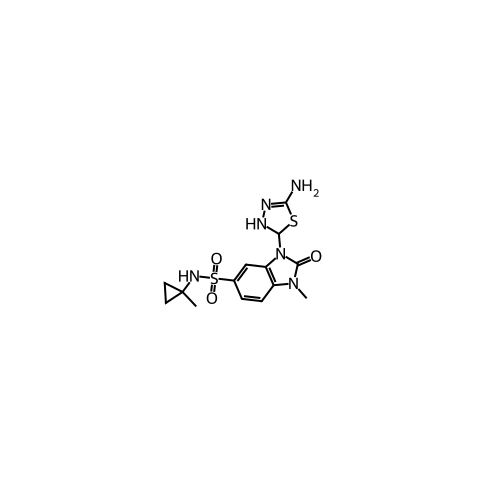 Cn1c(=O)n(C2NN=C(N)S2)c2cc(S(=O)(=O)NC3(C)CC3)ccc21